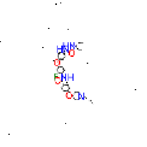 CCCCN1CCC(Oc2ccc(C(=O)Nc3ccc(Oc4ccc(NC(=O)NC(CC)CC)cc4)cc3F)cc2)CC1